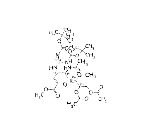 COC(=O)C1=C[C@H](N/C(=N/C(=O)OC(C)(C)C)NC(=O)OC(C)(C)C)[C@@H](NC(C)=O)[C@H]([C@H](OC)[C@@H](COC(C)=O)OC(C)=O)O1